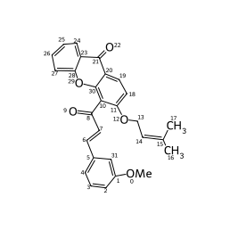 COc1cccc(C=CC(=O)c2c(OCC=C(C)C)ccc3c(=O)c4ccccc4oc23)c1